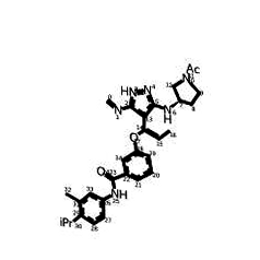 C=Nc1[nH]nc(N[C@@H]2CCN(C(C)=O)C2)c1/C(=C\C)Oc1cccc(C(=O)Nc2ccc(C(C)C)c(C)c2)c1